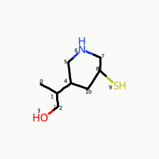 CC([C]O)C1CNCC(S)C1